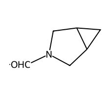 O=[C]N1CC2CC2C1